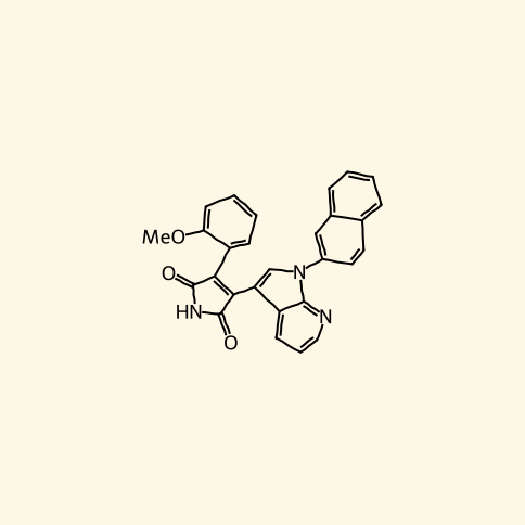 COc1ccccc1C1=C(c2cn(-c3ccc4ccccc4c3)c3ncccc23)C(=O)NC1=O